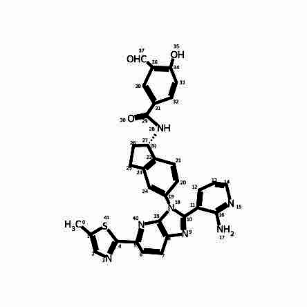 Cc1cnc(-c2ccc3nc(-c4cccnc4N)n(-c4ccc5c(c4)CC[C@@H]5NC(=O)c4ccc(O)c(C=O)c4)c3n2)s1